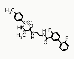 Cc1ccc([S+]([O-])N[C@@H](C)C(=O)NCCNC(=O)c2cc(-c3ccccc3F)ccc2F)cc1